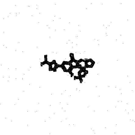 O=C1c2cc(-c3nnc(C(F)F)o3)cc(F)c2CN1C[C@@H]1CCCN1S(=O)(=O)CC(F)(F)F